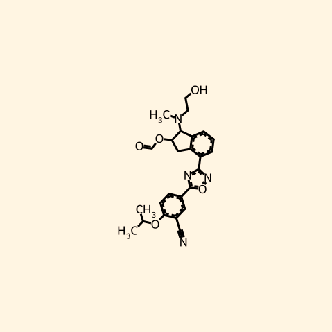 CC(C)Oc1ccc(-c2nc(-c3cccc4c3CC(OC=O)C4N(C)CCO)no2)cc1C#N